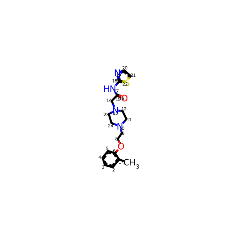 Cc1ccccc1OCCN1CCN(CC(=O)Nc2nccs2)CC1